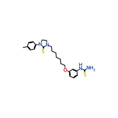 Cc1ccc(N2CCN(CCCCCCCOc3cccc(NC(N)=S)c3)C2=S)cc1